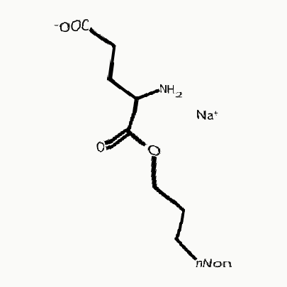 CCCCCCCCCCCCOC(=O)C(N)CCC(=O)[O-].[Na+]